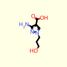 Nc1nn(CCCO)cc1C(=O)O